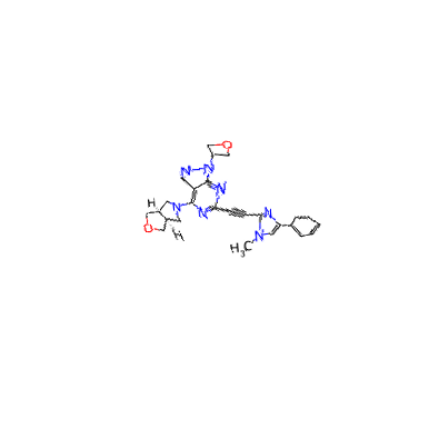 Cn1cc(-c2ccccc2)nc1C#Cc1nc(N2C[C@H]3COC[C@H]3C2)c2cnn(C3COC3)c2n1